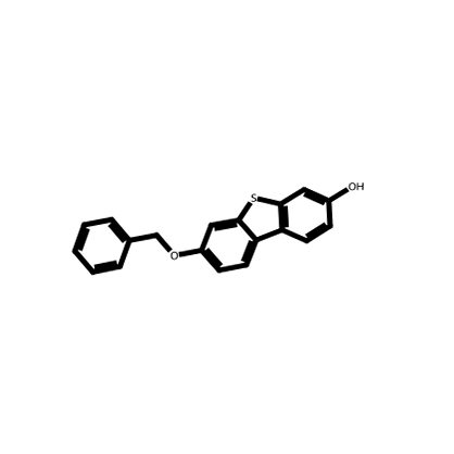 Oc1ccc2c(c1)sc1cc(OCc3ccccc3)ccc12